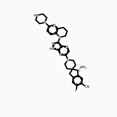 N#Cc1cc2c(cc1F)CC1(CCN(c3cnc4c(N5CCCc6nc(N7CCNCC7)ccc65)n[nH]c4n3)CC1)[C@@H]2N